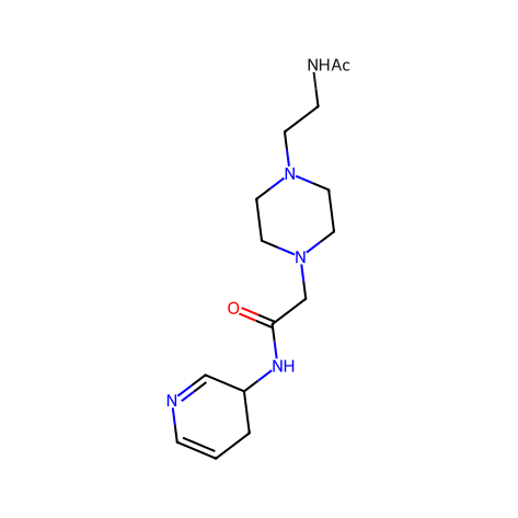 CC(=O)NCCN1CCN(CC(=O)NC2C=NC=CC2)CC1